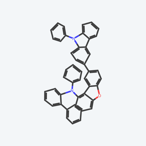 c1ccc(-c2ccccc2N(c2ccccc2)c2cccc3oc4ccc(-c5ccc6c(c5)c5ccccc5n6-c5ccccc5)cc4c23)cc1